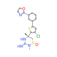 CN1C(=N)N[C@](C)(c2sc(-c3cccc(-c4ncco4)c3)cc2Cl)C[S+]1[O-]